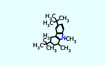 CC1CC(C(C)(C)C)Cc2c1n(C)c1ccc(C(C)(C)C)cc21